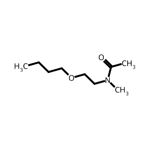 CCCCOCCN(C)C(C)=O